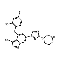 N#Cc1cc(F)ccc1Sc1cc(-c2cnn([C@H]3CCCNC3)n2)cn2ncc(C#N)c12